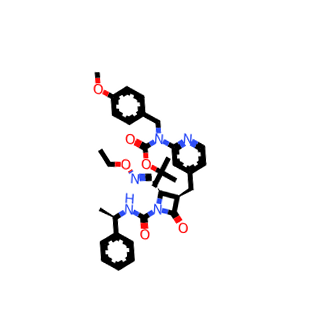 CCON=C[C@@H]1[C@@H](Cc2ccnc(N(Cc3ccc(OC)cc3)C(=O)OC(C)(C)C)c2)C(=O)N1C(=O)N[C@H](C)c1ccccc1